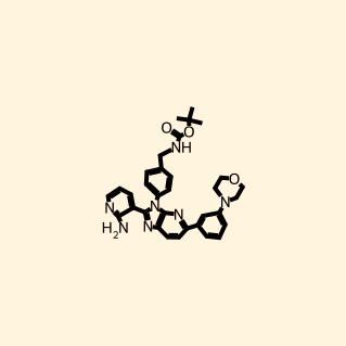 CC(C)(C)OC(=O)NCc1ccc(-n2c(-c3cccnc3N)nc3ccc(-c4cccc(N5CCOCC5)c4)nc32)cc1